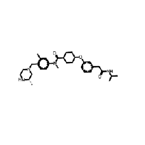 Cc1cc(N(C)C(=O)C2CCC(Oc3cccc(CC(=O)NC(C)C)c3)CC2)ccc1CN1CCN[C@@H](C)C1